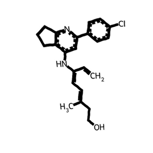 C=C/C(=C\C=C(/C)CCO)Nc1cc(-c2ccc(Cl)cc2)nc2c1CCC2